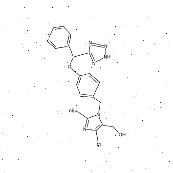 CCCCc1nc(Cl)c(CO)n1Cc1ccc(OC(c2ccccc2)c2nn[nH]n2)cc1